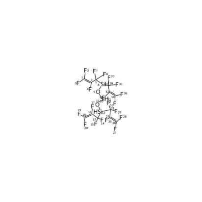 FC(F)=C(F)C(F)(F)[SiH](O[SiH2]O[SiH](C(F)(F)C(F)=C(F)F)C(F)(F)C(F)=C(F)F)C(F)(F)C(F)=C(F)F